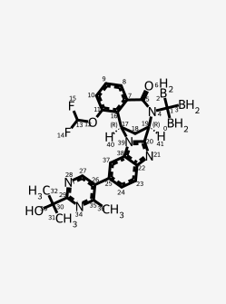 BC(B)(B)N1C(=O)c2cccc(OC(F)F)c2[C@H]2C[C@@H]1c1nc3ccc(-c4cnc(C(C)(C)O)nc4C)cc3n12